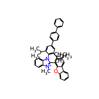 Cc1cc2c(oc3ccccc32)c(-c2n(-c3c(C(C)C)cc(-c4ccc(-c5ccccc5)cc4)cc3C(C)C)c3ccccc3[n+]2C)c1C